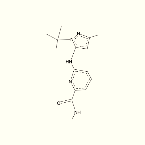 CNC(=O)c1cccc(Nc2cc(C)nn2C(C)(C)C)n1